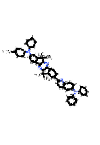 Cc1ccc(N(c2ccccc2)c2ccc3c(c2)C(C)(C)c2nc4c(nc2-3)C(C)(C)c2cc(-c3ccc5cc(N(c6ccccc6)c6ccccc6)ccc5n3)ccc2-4)cc1